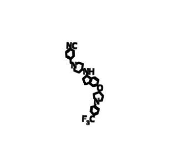 [C-]#[N+]c1ccc(CN2CCC(NC3CCc4cc(OC5CCN(c6ccc(C(F)(F)F)cc6)CC5)ccc43)CC2)cc1